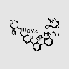 COc1nc(-c2cccc(-c3cccc(NC(=O)c4ncnn(C)c4=O)c3Cl)c2Cl)ccc1CNC1CCOC[C@H]1O